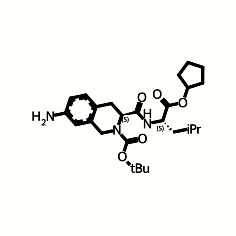 CC(C)C[C@H](NC(=O)[C@@H]1Cc2ccc(N)cc2CN1C(=O)OC(C)(C)C)C(=O)OC1CCCC1